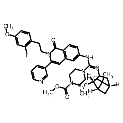 COC(=O)N1CCN(/C(=N\C2C[C@@H]3C[C@H]([C@@H]2C)C3(C)C)Nc2ccc3c(=O)n(CCc4ccc(OC)cc4F)c(-c4cccnc4)cc3c2)C[C@@H]1C